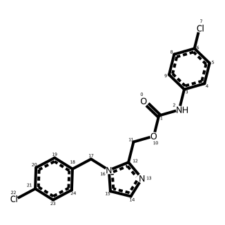 O=C(Nc1ccc(Cl)cc1)OCc1nccn1Cc1ccc(Cl)cc1